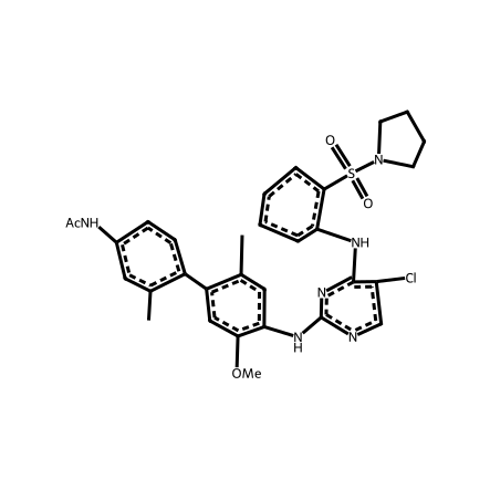 COc1cc(-c2ccc(NC(C)=O)cc2C)c(C)cc1Nc1ncc(Cl)c(Nc2ccccc2S(=O)(=O)N2CCCC2)n1